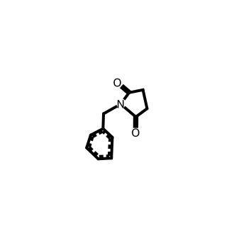 O=C1CCC(=O)N1Cc1ccccc1